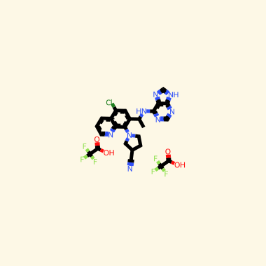 CC(Nc1ncnc2[nH]cnc12)c1cc(Cl)c2cccnc2c1N1CCC(C#N)C1.O=C(O)C(F)(F)F.O=C(O)C(F)(F)F